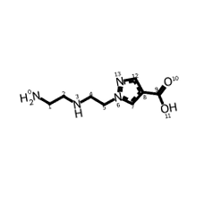 NCCNCCn1cc(C(=O)O)cn1